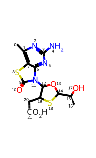 Cc1nc(N)nc2c1sc(=O)n2C1OC([C@H](C)O)SC1CC(=O)O